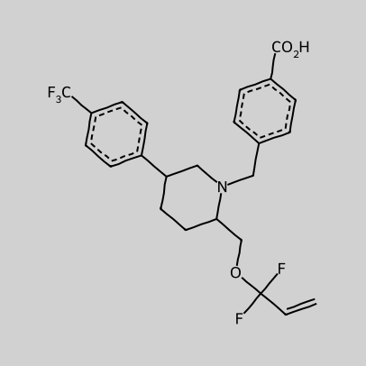 C=CC(F)(F)OCC1CCC(c2ccc(C(F)(F)F)cc2)CN1Cc1ccc(C(=O)O)cc1